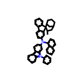 CC1CC2CCCC(C2)C12c1ccccc1-c1ccc(N(c3ccc4c5ccccc5n(-c5ccccc5)c4c3)c3cccc4ccccc34)cc12